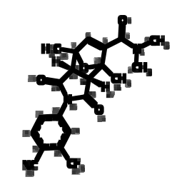 CN(C)C(=O)C1=CC2(C)OC1(C)[C@@H]1C(=O)N(c3ccc(C#N)c(C(F)(F)F)c3)C(=O)[C@@H]12